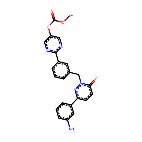 CC(C)OC(=O)Oc1cnc(-c2cccc(Cn3nc(-c4cccc(N)c4)ccc3=O)c2)nc1